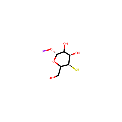 OCC1O[C@H](OI)C(O)[C@@H](O)[C@H]1S